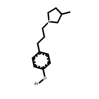 CC1CCN(CCCc2ccc(OC(C)C)cc2)C1